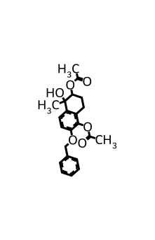 CC(=O)Oc1c(OCc2ccccc2)ccc2c1CCC(OC(C)=O)C2(C)O